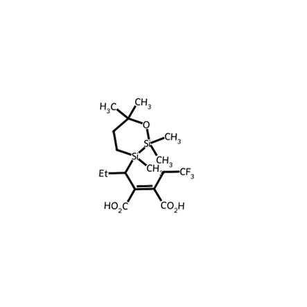 CCC(C(C(=O)O)=C(CC(F)(F)F)C(=O)O)[Si]1(C)CCC(C)(C)O[Si]1(C)C